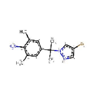 Cc1cc(C(n2cc(Br)cn2)(C(F)(F)F)C(F)(F)F)cc(C)c1N